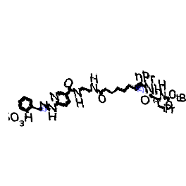 CCC/C(=C\CCCCCC(=O)NCCNC(=O)c1ccc(N/N=C/c2ccccc2S(=O)(=O)O)nc1)NC(=O)[C@H](CC(C)C)NC(=O)OC(C)(C)C